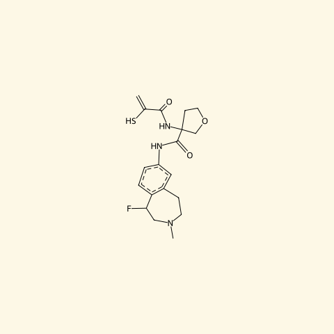 C=C(S)C(=O)NC1(C(=O)Nc2ccc3c(c2)CCN(C)CC3F)CCOC1